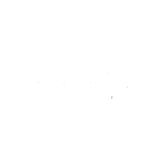 CC(C)(C)OC(=O)N1CCC(NC(=O)c2[nH]c(=O)[nH]c(=O)c2N)c2ccccc21